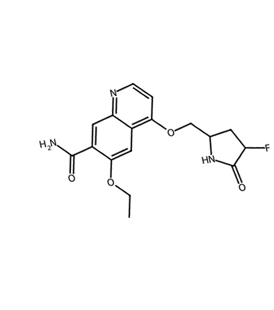 CCOc1cc2c(OCC3CC(F)C(=O)N3)ccnc2cc1C(N)=O